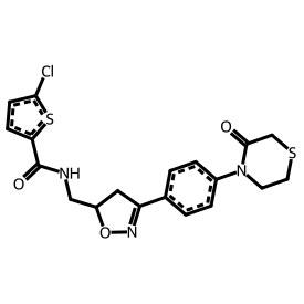 O=C(NCC1CC(c2ccc(N3CCSCC3=O)cc2)=NO1)c1ccc(Cl)s1